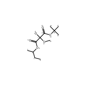 CCC(C)OC(=O)C([O])(OC)C(=O)OC(C)(C)C